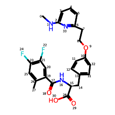 CNc1cccc(CCOc2ccc(C[C@H](NC(=O)c3cc(F)c(F)cc3C)C(=O)O)cc2)n1